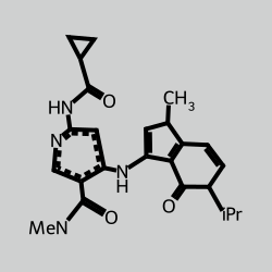 CNC(=O)c1cnc(NC(=O)C2CC2)cc1NC1=CC(C)C2=C1C(=O)C(C(C)C)C=C2